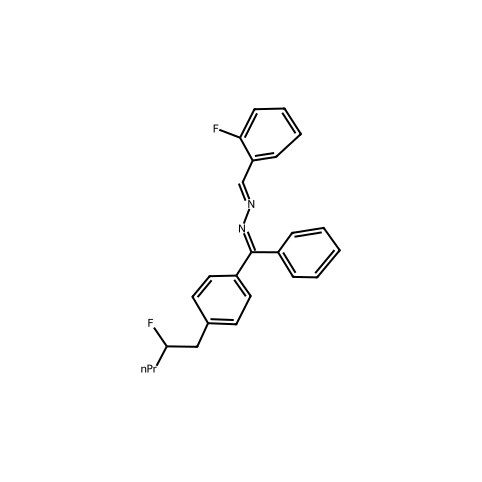 CCCC(F)Cc1ccc(C(=NN=Cc2ccccc2F)c2ccccc2)cc1